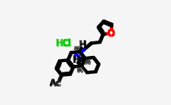 CC(=O)c1ccc2c(c1)[C@@]13CCCC[C@H]1[C@@H](C2)N(CCc1ccco1)CC3.Cl